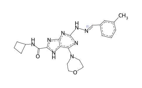 Cc1cccc(/C=N/Nc2nc(N3CCOCC3)c3[nH]c(C(=O)NC4CCC4)nc3n2)c1